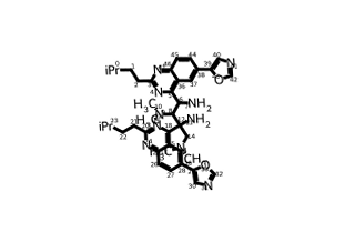 CC(C)CCc1nc(C(N)C(N(C)C)C(N)(CN(C)C)c2nc(CCC(C)C)nc3ccc(-c4cnco4)cc23)c2cc(-c3cnco3)ccc2n1